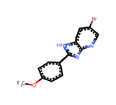 FC(F)(F)Oc1ccc(-c2nc3ncc(Br)cc3[nH]2)cc1